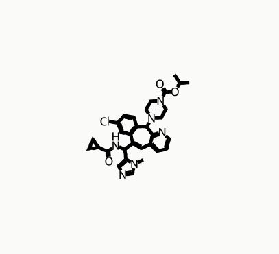 CC(C)OC(=O)N1CCN(C2c3ccc(Cl)cc3C(C(NC(=O)C3CC3)c3cncn3C)=Cc3cccnc32)CC1